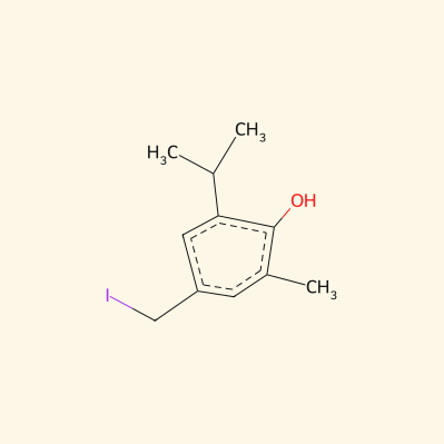 Cc1cc(CI)cc(C(C)C)c1O